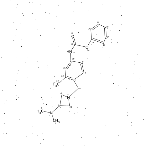 CN(C)C1CN(Cc2ccc(NC(=O)Oc3ccccc3)cc2C(F)(F)F)C1